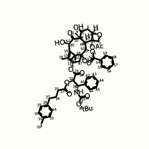 CC(=O)O[C@@]12CO[C@@H]1C[C@H](O)[C@@]1(C)C(=O)[C@H](O)C3=C(C)[C@@H](OC(=O)[C@H](OC(=O)CCCc4ccc(I)cc4)[C@@H](NC(=O)OC(C)(C)C)c4ccccc4)C[C@@](O)([C@@H](OC(=O)c4ccccc4)[C@H]21)C3(C)C